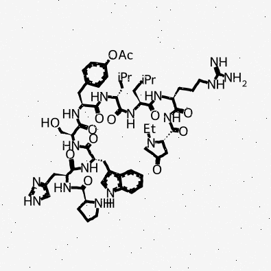 CCN1CC(=O)C[C@H]1C(=O)NC(=O)[C@H](CCCNC(=N)N)NC(=O)[C@H](CC(C)C)NC(=O)[C@@H](CC(C)C)NC(=O)[C@H](Cc1ccc(OC(C)=O)cc1)NC(=O)[C@H](CO)NC(=O)[C@H](Cc1c[nH]c2ccccc12)NC(=O)[C@H](Cc1c[nH]cn1)NC(=O)[C@@H]1CCCN1